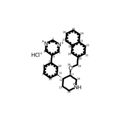 Cl.c1cc(-c2cncnc2)cc([C@H]2CCNC[C@@H]2OCc2ccc3ccccc3c2)c1